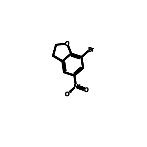 O=[N+]([O-])c1cc(Br)c2c(c1)CCO2